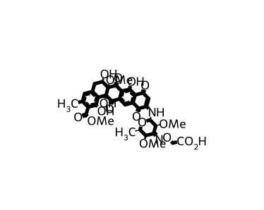 COC(=O)c1c(C)cc2c(c1O)C1(O)C(=O)c3cc4c(c(O)c3C(=O)[C@]1(OC)[C@H](O)C2)C(=O)C=C(N[C@H]1O[C@@H](C)[C@H](OC)/C(=N/OCC(=O)O)[C@H]1OC)C4=O